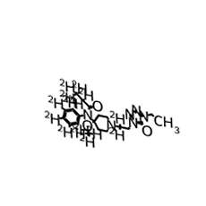 [2H]c1c([2H])c([2H])c(N(C(=O)C([2H])([2H])C([2H])([2H])[2H])C2(OC([2H])([2H])[2H])CCN(C([2H])([2H])Cn3nnn(CC)c3=O)CC2)c([2H])c1[2H]